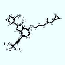 CCn1c(-c2nonc2N)nc2c(C#CC(C)(C)O)ncc(OCCCNCC3CC3)c21